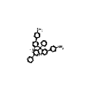 Nc1ccc(-c2ccc(N)c(C(c3ccccc3)(c3ccc(-c4ccccc4)cc3)c3cc(-c4ccc(N)cc4)ccc3N)c2)cc1